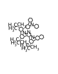 CC(C)(C)c1cc(-c2ccc3c(c2)c2ccccc2n3-c2ccccc2)c2c(c1)c1cc(C(C)(C)C)cc3c4c5c6cc(C(C)(C)C)cc7c8cc9ccccc9cc8n(c5cnc4n2c13)c76